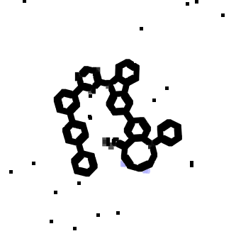 C=C1/C=C\C=C/CN(c2ccccc2)c2ccc(-c3ccc4c(c3)c3ccccc3n4-c3ncnc(-c4cccc(-c5ccc(-c6ccccc6)cc5)c4)n3)cc21